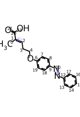 C/C(=C\CCOc1ccc(/N=N/c2ccccc2)cc1)C(=O)O